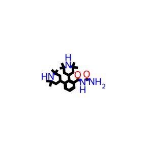 CC1(C)CC(c2cccc(C(=O)NC(N)=O)c2C2CC(C)(C)NC(C)(C)C2)CC(C)(C)N1